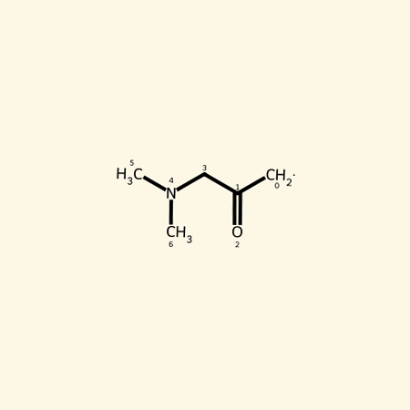 [CH2]C(=O)CN(C)C